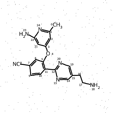 Cc1cc(Oc2cc(C#N)ccc2-c2ncc(CCN)cn2)cc(N)n1